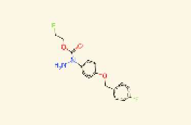 NN(C(=O)OCCF)c1ccc(OCc2ccc(F)cc2)cc1